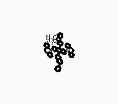 CC1(C)c2ccccc2-c2ccc(-c3c4ccc(N5c6ccccc6CCc6ccccc65)cc4c(-c4ccc5cc(-c6ccccc6)ccc5c4)c4ccc(N5c6ccccc6CCc6ccccc65)cc34)cc21